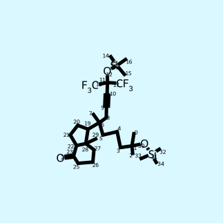 CC(C)(CCCC(C)(CC#CC(O[Si](C)(C)C)(C(F)(F)F)C(F)(F)F)C1CCC2C(=O)CCCC21C)O[Si](C)(C)C